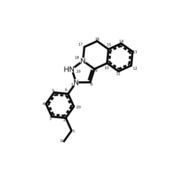 CCc1cccc(N2C=C3c4ccccc4CCN3N2)c1